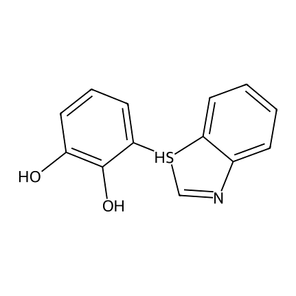 Oc1cccc([SH]2C=Nc3ccccc32)c1O